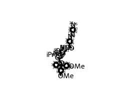 [C-]#[N+]CCOP(OC(COCCCNC(=O)c1ccc(/N=N/c2ccc(N(C)C)cc2)cc1)COC(c1ccccc1)(c1ccc(OC)cc1)c1ccc(OC)cc1)N(C(C)C)C(C)C